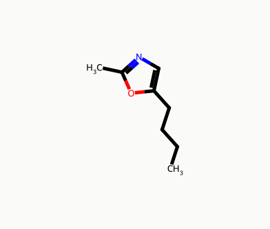 CCCCc1cnc(C)o1